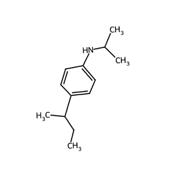 CCC(C)c1ccc(NC(C)C)cc1